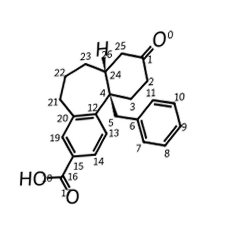 O=C1CC[C@]2(Cc3ccccc3)c3ccc(C(=O)O)cc3CCC[C@@H]2C1